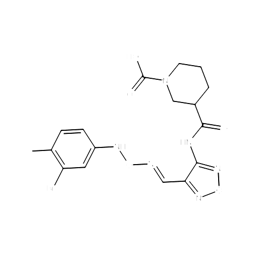 O=C(Nc1nonc1/C=N/ONc1ccc(F)c(Br)c1)C1CCCN(C(=O)O)C1